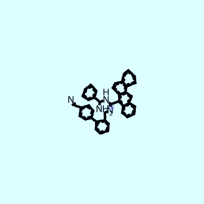 N#Cc1ccc(-c2ccccc2C/N=C(\NC(N)c2ccccc2)c2c3ccccc3cc3c2ccc2ccccc23)cc1